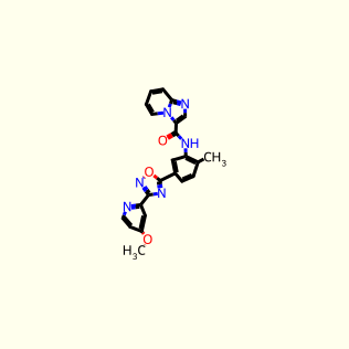 COc1ccnc(-c2noc(-c3ccc(C)c(NC(=O)c4cnc5ccccn45)c3)n2)c1